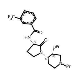 CCC[C@@H]1CN(C(C)C)CC[C@@H]1N1CC[C@H](NC(=O)c2cccc(C(F)(F)F)c2)C1=O